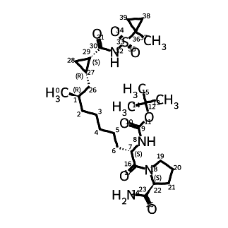 C[C@H](CCCCC[C@H](NC(=O)OC(C)(C)C)C(=O)N1CCC[C@H]1C(N)=O)C[C@@H]1C[C@@H]1C(=O)NS(=O)(=O)C1(C)CC1